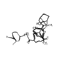 Cc1ccnc([C@H](O)C2(O)C3CCC2CC(S(=O)(=O)c2cc(C(=O)Nc4ccc(F)c(F)c4)ccc2Cl)C3)c1